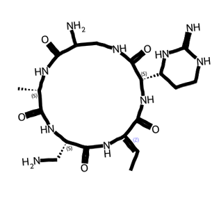 C/C=C1\NC(=O)[C@H](CN)NC(=O)[C@H](C)NC(=O)C(N)CNC(=O)[C@H](C2CCNC(=N)N2)NC1=O